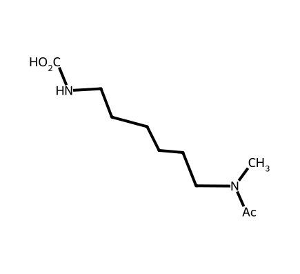 CC(=O)N(C)CCCCCCNC(=O)O